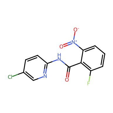 O=C(Nc1ccc(Cl)cn1)c1c(F)cccc1[N+](=O)[O-]